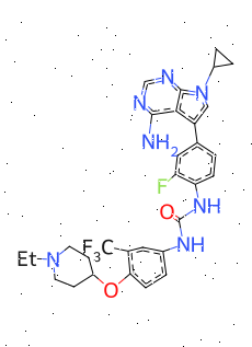 CCN1CCC(Oc2ccc(NC(=O)Nc3ccc(-c4cn(C5CC5)c5ncnc(N)c45)cc3F)cc2C(F)(F)F)CC1